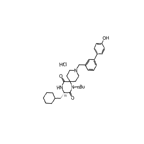 CCCCN1C(=O)[C@H](CC2CCCCC2)NC(=O)C12CCN(Cc1cccc(-c3ccc(O)cc3)c1)CC2.Cl